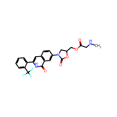 CNCC(=O)OCC1CN(c2ccc3cc(-c4ccccc4C(F)(F)F)[nH]c(=O)c3c2)C(=O)O1